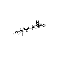 CCOCNC[CH]CCCO[SiH2]CC=O